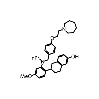 CCCN(Cc1ccc(OCCN2CCCCCC2)cc1)c1cc(OC)ccc1C1CCc2cc(O)ccc2C1